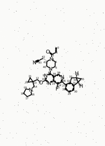 C=CC(=O)N1CCN(c2nc(OCC3(CN4CCCC4)CC3)nc3c(F)c(-c4cccc5c4C[C@@H]4C[C@H]54)ncc23)C[C@@H]1CC#N